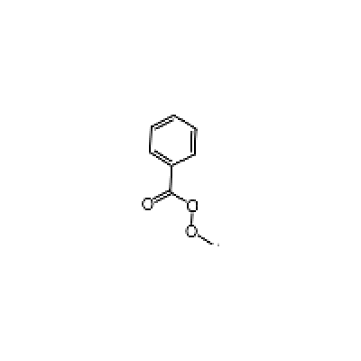 [CH2]OOC(=O)c1ccccc1